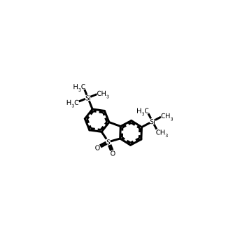 C[Si](C)(C)c1ccc2c(c1)-c1cc([Si](C)(C)C)ccc1S2(=O)=O